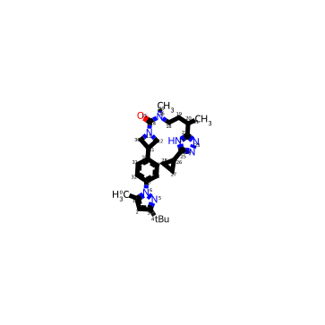 Cc1cc(C(C)(C)C)nn1-c1ccc(C2CN(C(=O)N(C)CCC(C)c3nnc(C4CC4)[nH]3)C2)cc1